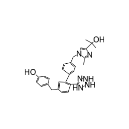 Cc1nc(C(C)(C)O)cn1Cc1ccc(-c2cc(Cc3ccc(O)cc3)ccc2C2=NNNN2)cc1